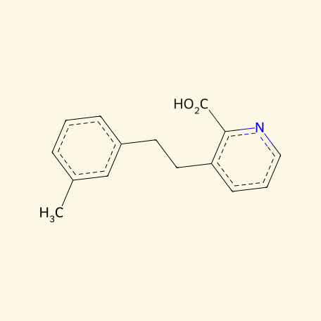 Cc1cccc(CCc2cccnc2C(=O)O)c1